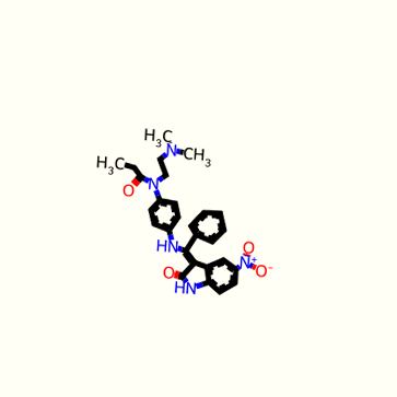 CCC(=O)N(CCN(C)C)c1ccc(N/C(=C2\C(=O)Nc3ccc([N+](=O)[O-])cc32)c2ccccc2)cc1